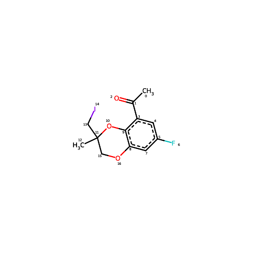 CC(=O)c1cc(F)cc2c1OC(C)(CI)CO2